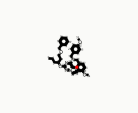 CCCC(CCOCc1ccccc1)Oc1nc(N(Cc2ccc(OC)cc2)Cc2ccc(OC)cc2)c2nccn2n1